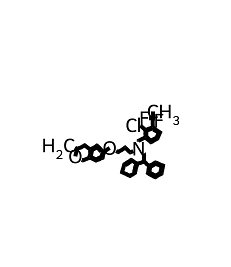 C=C1Cc2cc(OCCCN(Cc3cccc(C(C)(F)F)c3Cl)CC(C3=CCCC=C3)c3ccccc3)ccc2CO1